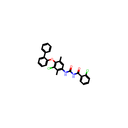 Cc1cc(NC(=O)NC(=O)c2ccccc2Cl)c(C)c(Cl)c1Oc1ccccc1-c1ccccc1